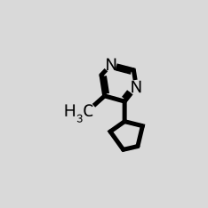 Cc1cncnc1C1CCCC1